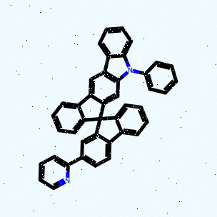 c1ccc(-n2c3ccccc3c3cc4c(cc32)C2(c3ccccc3-c3ccc(-c5ccccn5)cc32)c2ccccc2-4)cc1